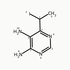 CC(I)c1ncnc(N)c1N